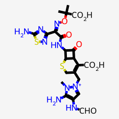 Cn1c(N)c(NC=O)c[n+]1CC1=C(C(=O)O)C2C(=O)C(NC(=O)/C(=N\OC(C)(C)C(=O)O)c3nsc(N)n3)C2SC1